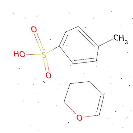 C1=COCCC1.Cc1ccc(S(=O)(=O)O)cc1